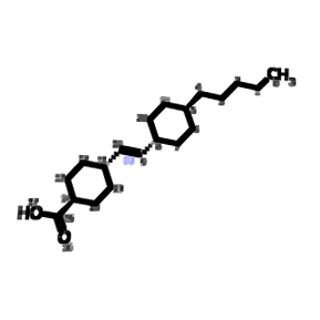 CCCCC[C@H]1CC[C@H](/C=C/[C@H]2CC[C@H](C(=O)O)CC2)CC1